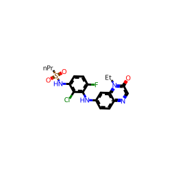 CCCS(=O)(=O)Nc1ccc(F)c(Nc2ccc3ncc(=O)n(CC)c3c2)c1Cl